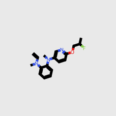 C=CN(C)c1ccccc1N(C)c1ccc(OCC(C)F)nc1